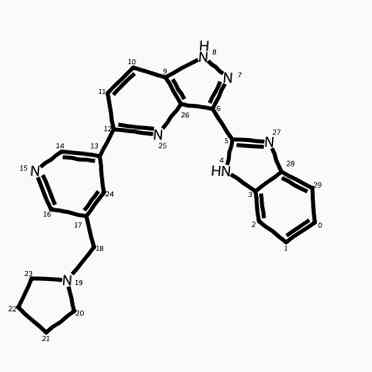 c1ccc2[nH]c(-c3n[nH]c4ccc(-c5cncc(CN6CCCC6)c5)nc34)nc2c1